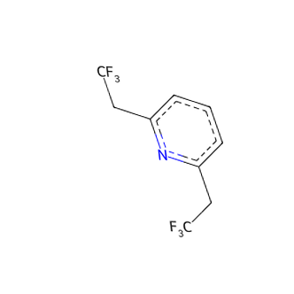 FC(F)(F)Cc1cccc(CC(F)(F)F)n1